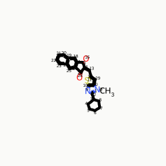 Cn1c(C2CCCCC2)nc2sc(C=C3C(=O)c4cc5ccccc5cc4C3=O)cc21